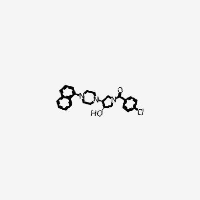 O=C(c1ccc(Cl)cc1)N1C[C@H](O)[C@@H](N2CCN(c3cccc4ccccc34)CC2)C1